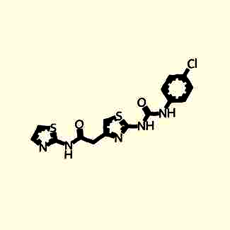 O=C(Cc1csc(NC(=O)Nc2ccc(Cl)cc2)n1)Nc1nccs1